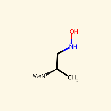 CN[C@H](C)CNO